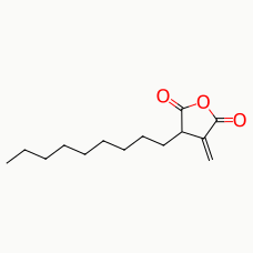 C=C1C(=O)OC(=O)C1CCCCCCCCC